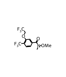 CON(C)C(=O)c1ccc(C(F)(F)F)c(OCC(F)(F)F)c1